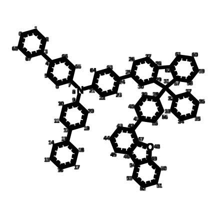 c1ccc(-c2ccc(N(c3ccc(-c4ccccc4)cc3)c3ccc(-c4ccc5c(c4)C(c4ccccc4)(c4ccc(-c6cccc7c6oc6ccccc67)cc4)c4ccccc4-5)cc3)cc2)cc1